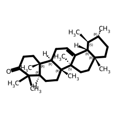 C[C@H]1[C@H](C)CC[C@]2(C)CC[C@]3(C)C(=CC[C@@H]4[C@@]5(C)CCC(=O)C(C)(C)[C@@H]5CC[C@]43C)[C@H]12